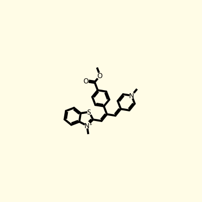 COC(=O)c1ccc(/C(C=C2C=CN(C)C=C2)=C\c2sc3ccccc3[n+]2C)cc1